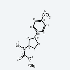 CCN(C(=O)OC(C)(C)C)C1CCN(c2ccc([N+](=O)[O-])cc2)C1